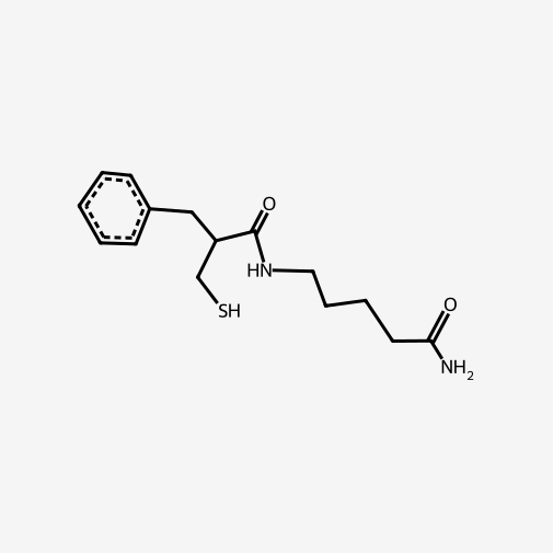 NC(=O)CCCCNC(=O)C(CS)Cc1ccccc1